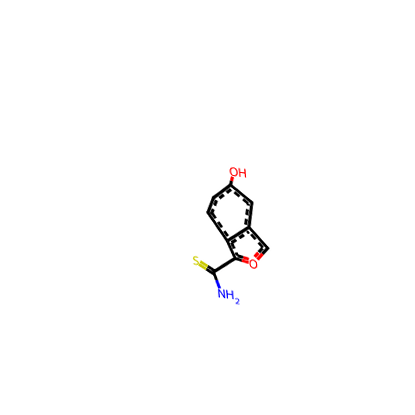 NC(=S)c1occ2cc(O)ccc12